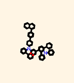 c1cccc(-c2ccccc2N(C2=CC=C(c3ccc(C4=CC=CC5C=CC=CC45)cc3)CC2)c2cccc(-c3ccc(C4C=CC=CC4)c4c3c3ccccc3n4-c3ccccc3)c2)c#1